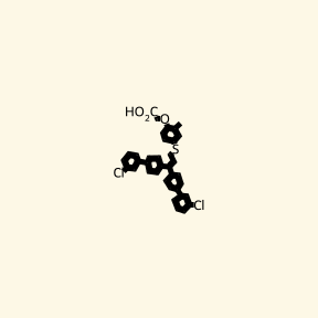 Cc1cc(SCC=C(c2ccc(-c3cccc(Cl)c3)cc2)c2ccc(-c3cccc(Cl)c3)cc2)ccc1OCC(=O)O